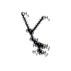 CCCCCCCCCCCCCCCC(=O)OC[C@H](CS/C=C/C(=O)NCc1ccc(C(=O)N[C@@H](CCC(=O)OC(C)(C)C)C(=O)OC(C)(C)C)cc1)OC(=O)CCCCCCCCCCCCCCC